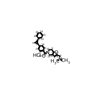 CN(C)Cc1cc2c(o1)CCN(C(=O)c1ccc(C3CC3c3ccccc3)cc1)C2.Cl